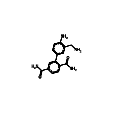 NCc1cc(-c2cc(C(N)=O)ccc2C(N)=O)ccc1N